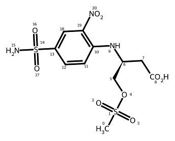 CS(=O)(=O)OC[C@H](CC(=O)O)Nc1ccc(S(N)(=O)=O)cc1[N+](=O)[O-]